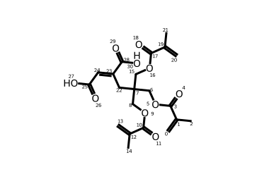 C=C(C)C(=O)OCC(COC(=O)C(=C)C)(COC(=O)C(=C)C)C/C(=C\C(=O)O)C(=O)O